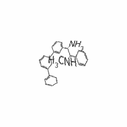 CNC(C1C=CC=CC1)[C@@H](N)c1cccc(C2C=CC=C(C3=CC=CCC3)C2)c1